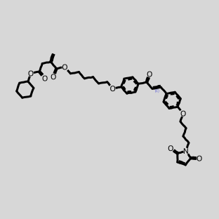 C=C(CC(=O)OC1CCCCC1)C(=O)OCCCCCCOc1ccc(C(=O)/C=C/c2ccc(OCCCCN3C(=O)C=CC3=O)cc2)cc1